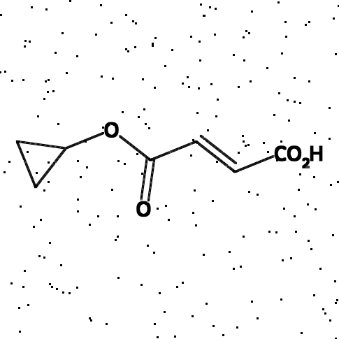 O=C(O)C=CC(=O)OC1CC1